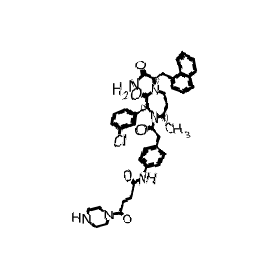 C[C@@H]1CCN([C@H](Cc2cccc3ccccc23)C(N)=O)C(=O)[C@H](c2cccc(Cl)c2)N1C(=O)Cc1ccc(NC(=O)CCC(=O)N2CCNCC2)cc1